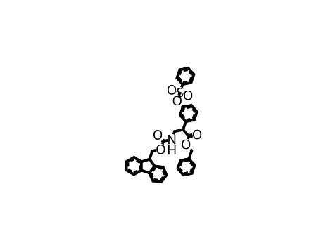 O=C(NCC(C(=O)OCc1ccccc1)c1cccc(OS(=O)(=O)c2ccccc2)c1)OCC1c2ccccc2-c2ccccc21